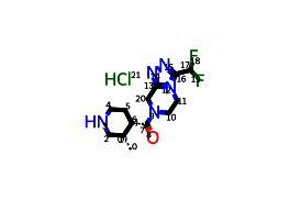 C[C@@H]1CNCC[C@@H]1C(=O)N1CCn2c(nnc2C(F)F)C1.Cl